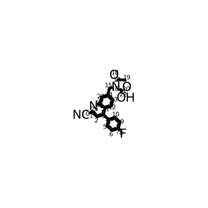 N#Cc1cc(-c2ccc(F)cc2)c2ccc(CN3C(=O)COC3O)cc2n1